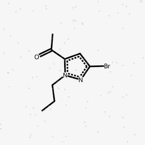 CCCn1nc(Br)cc1C(C)=O